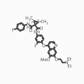 CCN(CC)CCOc1cc2nccc(Oc3ccc(NC(=O)C4(C(=O)Nc5ccc(F)cc5)[C@H](C)[C@@H]4C)cc3F)c2cc1OC